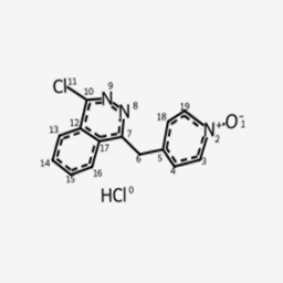 Cl.[O-][n+]1ccc(Cc2nnc(Cl)c3ccccc23)cc1